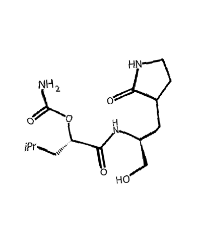 CC(C)C[C@H](OC(N)=O)C(=O)N[C@H](CO)CC1CCNC1=O